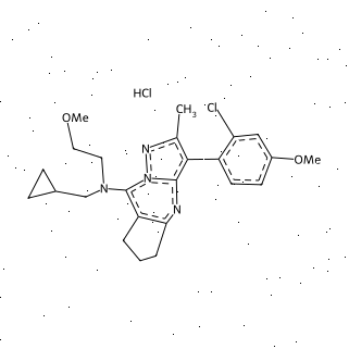 COCCN(CC1CC1)c1c2c(nc3c(-c4ccc(OC)cc4Cl)c(C)nn13)CCC2.Cl